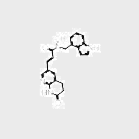 CN(Cc1cccc2[nH]ccc12)C(=O)C=Cc1cnc2c(c1)CCC(=O)N2